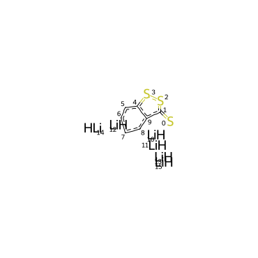 S=c1ssc2ccccc12.[LiH].[LiH].[LiH].[LiH].[LiH].[LiH]